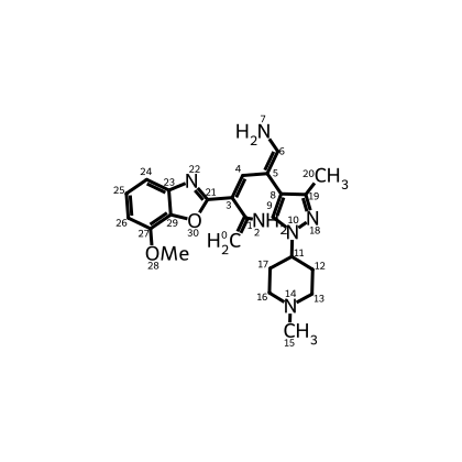 C=C(N)/C(=C\C(=C/N)c1cn(C2CCN(C)CC2)nc1C)c1nc2cccc(OC)c2o1